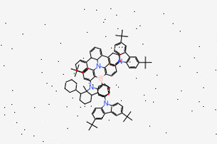 CC(C)(C)c1cc2c3c(c1)N(C1(C)C(C4CCCCC4)CCCC1C1CCCCC1)c1cc(-n4c5ccc(C(C)(C)C)cc5c5cc(C(C)(C)C)ccc54)ccc1B3c1ccc(-n3c4ccc(C(C)(C)C)cc4c4cc(C(C)(C)C)ccc43)cc1N2C1C(C2=CC=CCC2)=CC=CC1C1=CCCC=C1